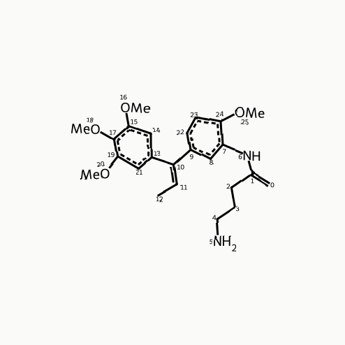 C=C(CCCN)Nc1cc(C(=CC)c2cc(OC)c(OC)c(OC)c2)ccc1OC